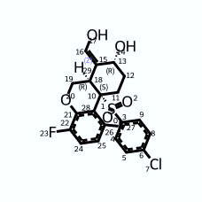 O=S(=O)(c1ccc(Cl)cc1)[C@@]12CC[C@@H](O)/C(=C\O)[C@@H]1COc1c(F)ccc(F)c12